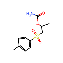 Cc1ccc(S(=O)(=O)CC(C)OC(N)=O)cc1